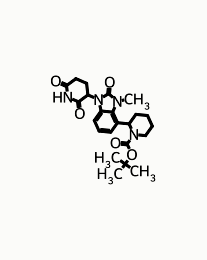 Cn1c(=O)n(C2CCC(=O)NC2=O)c2cccc(C3CCCCN3C(=O)OC(C)(C)C)c21